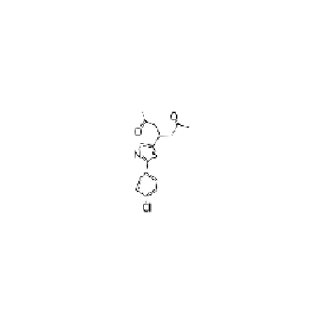 CC(=O)CC(CC(C)=O)c1cnc(-c2ccc(Cl)cc2)s1